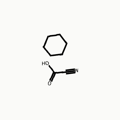 C1CCCCC1.N#CC(=O)O